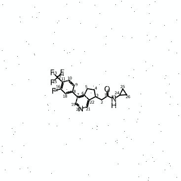 O=C(CC1CCc2c(-c3ccc(C(F)(F)F)c(F)c3)cncc21)NC1CC1